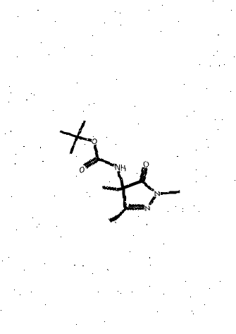 CC1=NN(C)C(=O)C1(C)NC(=O)OC(C)(C)C